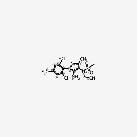 CS(=O)(=O)N(CC#N)c1c(C#N)nn(-c2c(Cl)cc(C(F)(F)F)cc2Cl)c1N